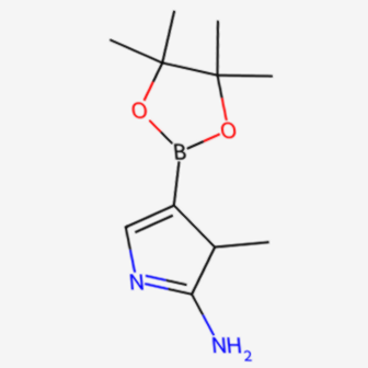 CC1C(B2OC(C)(C)C(C)(C)O2)=CN=C1N